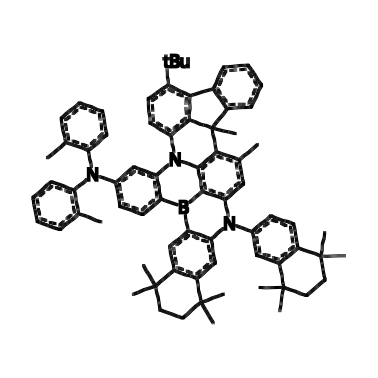 Cc1ccccc1N(c1ccc2c(c1)N1c3ccc(C(C)(C)C)c4c3C(C)(c3ccccc3-4)c3c(C)cc4c(c31)B2c1cc2c(cc1N4c1ccc3c(c1)C(C)(C)CCC3(C)C)C(C)(C)CCC2(C)C)c1ccccc1C